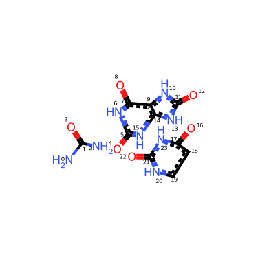 NC(N)=O.O=c1[nH]c(=O)c2[nH]c(=O)[nH]c2[nH]1.O=c1cc[nH]c(=O)[nH]1